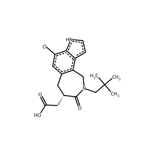 CC(C)(C)CN1Cc2c(cc(Cl)c3[nH]ccc23)C[C@@H](CC(=O)O)C1=O